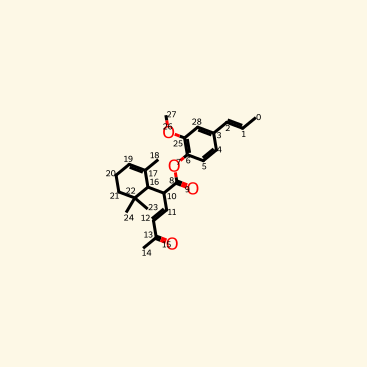 CC=Cc1ccc(OC(=O)C(C=CC(C)=O)C2C(C)=CCCC2(C)C)c(OC)c1